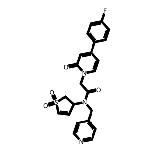 O=C(Cn1ccc(-c2ccc(F)cc2)cc1=O)N(Cc1ccncc1)C1C=CS(=O)(=O)C1